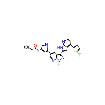 CC(C)(C)CC(=O)Nc1cncc(-c2cnc3[nH]nc(-c4cc5c(-c6ccc(F)s6)ccnc5[nH]4)c3c2)c1